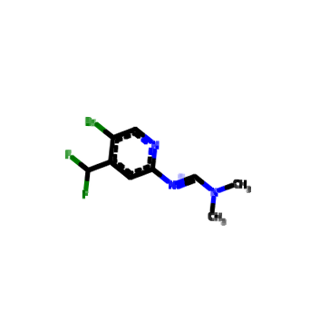 CN(C)/C=N/c1cc(C(F)F)c(Br)cn1